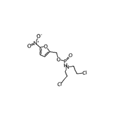 O=[N+]([O-])c1ccc(CO[PH](=O)N(CCCl)CCCl)o1